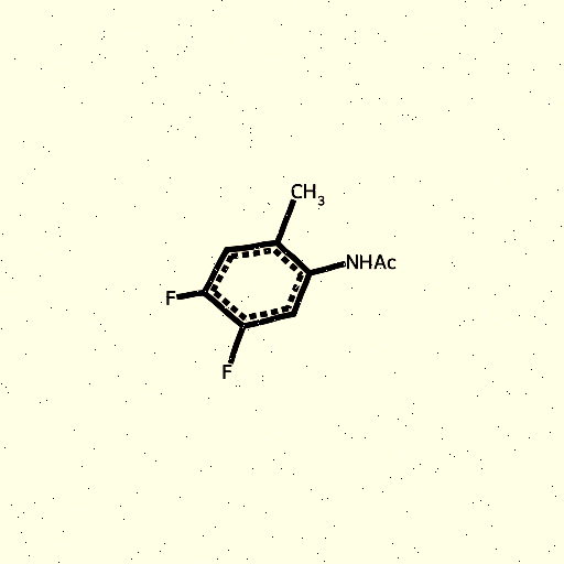 CC(=O)Nc1cc(F)c(F)cc1C